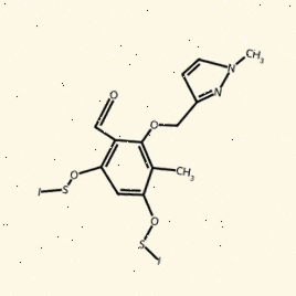 Cc1c(OSI)cc(OSI)c(C=O)c1OCc1ccn(C)n1